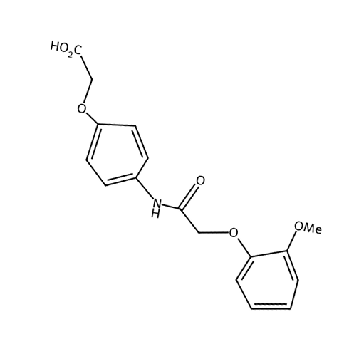 COc1ccccc1OCC(=O)Nc1ccc(OCC(=O)O)cc1